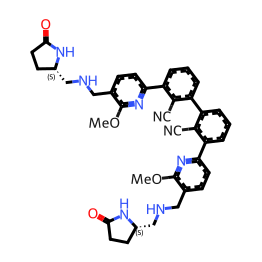 COc1nc(-c2cccc(-c3cccc(-c4ccc(CNC[C@@H]5CCC(=O)N5)c(OC)n4)c3C#N)c2C#N)ccc1CNC[C@@H]1CCC(=O)N1